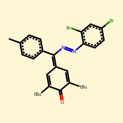 Cc1ccc(C(N=Nc2ccc(Br)cc2Br)=C2C=C(C(C)(C)C)C(=O)C(C(C)(C)C)=C2)cc1